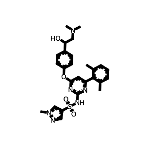 Cc1cccc(C)c1-c1cc(Oc2ccc(C(O)CN(C)C)cc2)nc(NS(=O)(=O)c2cnn(C)c2)n1